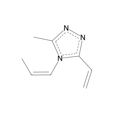 C=Cc1nnc(C)n1/C=C\C